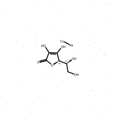 O=C1O[C@H]([C@@H](O)CO)C(O)=C1O.[Na][Cu]